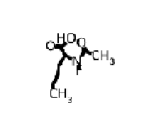 CCCCC(C(=O)O)N(F)C(C)=O